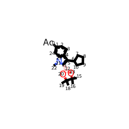 CC(=O)c1ccc2c(C3CCCC3)c(B3OC(C)(C)C(C)(C)O3)n(C)c2c1